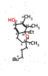 CCC(C)CCCC1(C)CCC2=CC(O)C(C)=C(C)C2(CC)O1